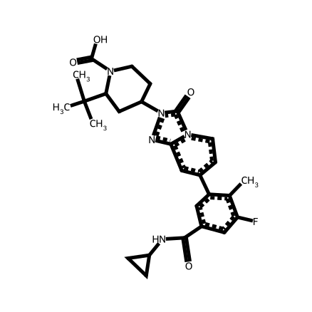 Cc1c(F)cc(C(=O)NC2CC2)cc1-c1ccn2c(=O)n(C3CCN(C(=O)O)C(C(C)(C)C)C3)nc2c1